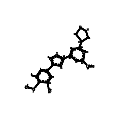 C[CH]Oc1c(C)cc(-c2noc(-c3cc(OC)nc(C4CCCC4)c3)n2)cc1CC